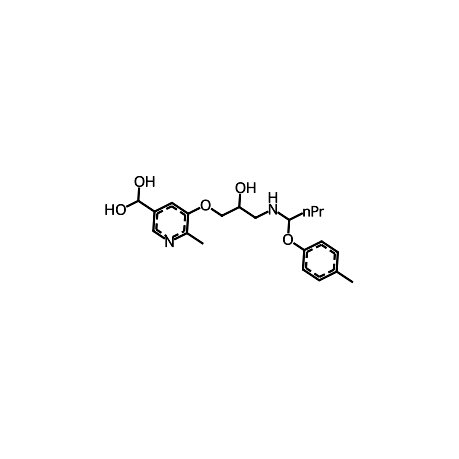 CCCC(NCC(O)COc1cc(C(O)O)cnc1C)Oc1ccc(C)cc1